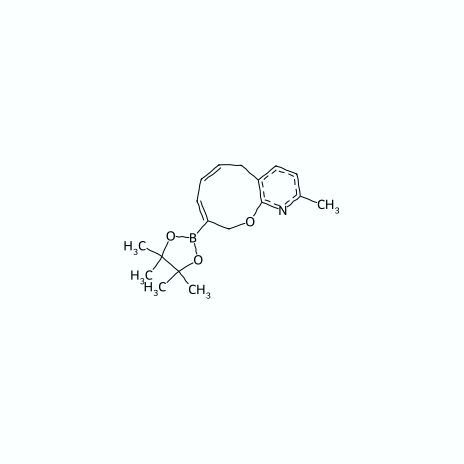 Cc1ccc2c(n1)OC/C(B1OC(C)(C)C(C)(C)O1)=C\C=C/C2